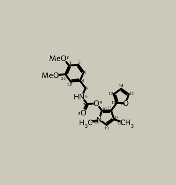 COc1ccc(CNC(=O)Oc2c(-c3ccco3)c(C)cn2C)cc1OC